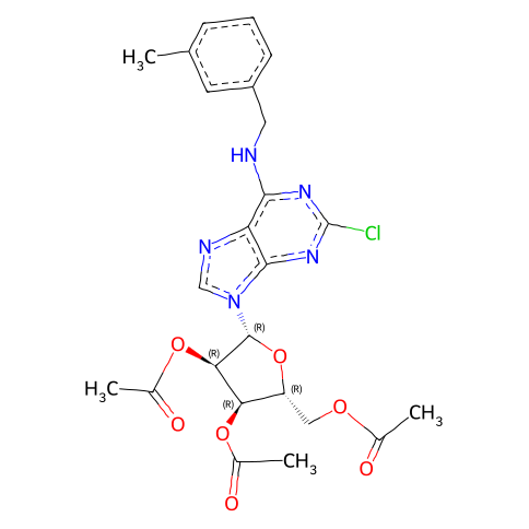 CC(=O)OC[C@H]1O[C@@H](n2cnc3c(NCc4cccc(C)c4)nc(Cl)nc32)[C@H](OC(C)=O)[C@@H]1OC(C)=O